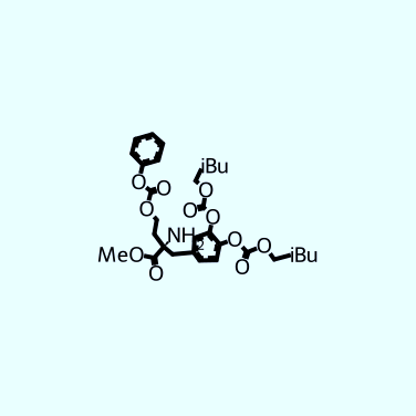 CCC(C)COC(=O)Oc1ccc(C[C@](N)(CCOC(=O)Oc2ccccc2)C(=O)OC)cc1OC(=O)OCC(C)CC